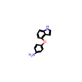 Nc1ccc(Oc2cccc3[nH]ccc23)cc1